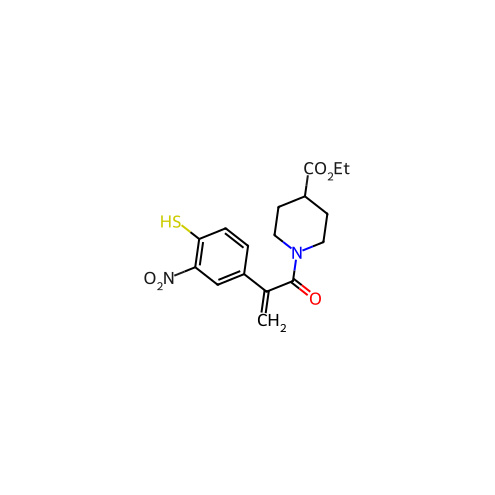 C=C(C(=O)N1CCC(C(=O)OCC)CC1)c1ccc(S)c([N+](=O)[O-])c1